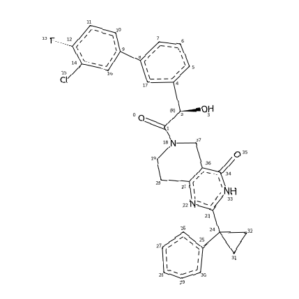 O=C([C@H](O)c1cccc(-c2ccc(F)c(Cl)c2)c1)N1CCc2nc(C3(c4ccccc4)CC3)[nH]c(=O)c2C1